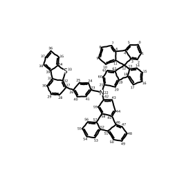 c1ccc2c(c1)-c1ccccc1C21c2ccccc2-c2cc(N(c3ccc(-c4cccc5c4sc4ccccc45)cc3)c3ccc4c5ccccc5c5ccccc5c4c3)ccc21